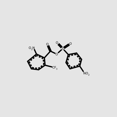 O=C(OS(=O)(=O)c1ccc([N+](=O)[O-])cc1)c1c([N+](=O)[O-])cccc1C(F)(F)F